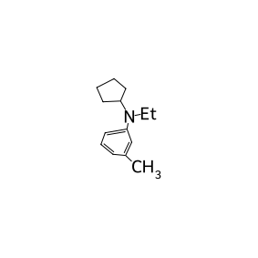 CCN(c1cccc(C)c1)C1CCCC1